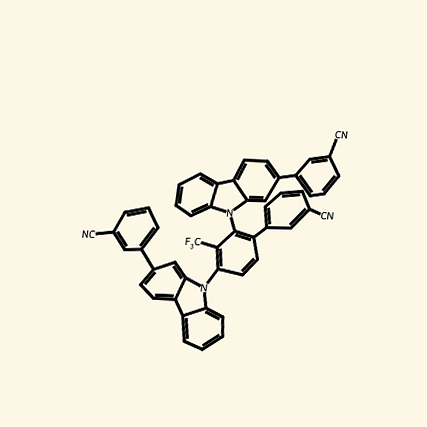 N#Cc1cccc(-c2ccc3c4ccccc4n(-c4ccc(-c5cccc(C#N)c5)c(-n5c6ccccc6c6ccc(-c7cccc(C#N)c7)cc65)c4C(F)(F)F)c3c2)c1